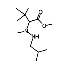 COC(=O)C(N(C)NCC(C)C)C(C)(C)C